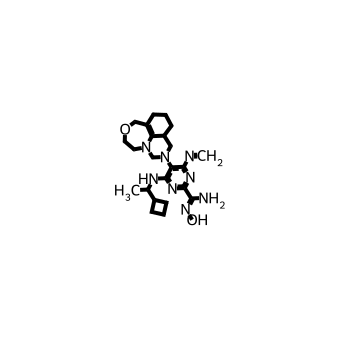 C=Nc1nc(/C(N)=N/O)nc(NC(C)C2CCC2)c1N1CC2CCCC3=C2N(CCOC3)C1